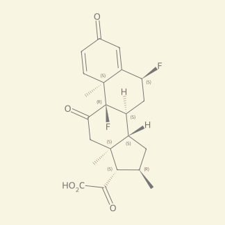 C[C@@H]1C[C@H]2[C@@H]3C[C@H](F)C4=CC(=O)C=C[C@]4(C)[C@@]3(F)C(=O)C[C@]2(C)[C@H]1C(=O)C(=O)O